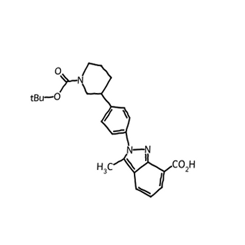 Cc1c2cccc(C(=O)O)c2nn1-c1ccc(C2CCCN(C(=O)OC(C)(C)C)C2)cc1